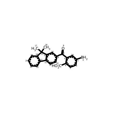 Bc1ccc(C(=O)O)c(C(=O)c2ccc3c(c2)C(C)(C)c2ccccc2-3)c1